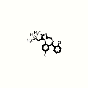 Cc1nc2n(c1CN(C)C)-c1ccc(Cl)cc1C(c1ccccc1Cl)=NC2